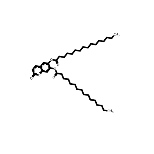 CCCCCCCCCCCCCCCC(=O)Oc1cc2ccc(=O)oc2cc1OC(=O)CCCCCCCCCCCCCCC